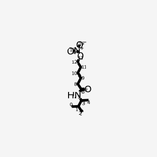 CC(C)C(C)NC(=O)CCCCCO[N+](=O)[O-]